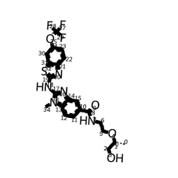 C[C@H](CO)OCCNC(=O)c1ccc2c(c1)nc(Nc1nc3ccc(OC(F)(F)F)cc3s1)n2C